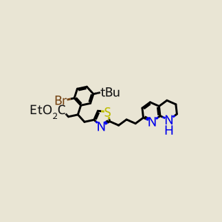 CCOC(=O)CC(Cc1csc(CCCc2ccc3c(n2)NCCC3)n1)c1cc(C(C)(C)C)ccc1Br